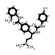 CN(C)CCC(NC(=O)Nc1ccc(F)cc1)c1ccc(C(=O)Nc2ccccc2N)cc1